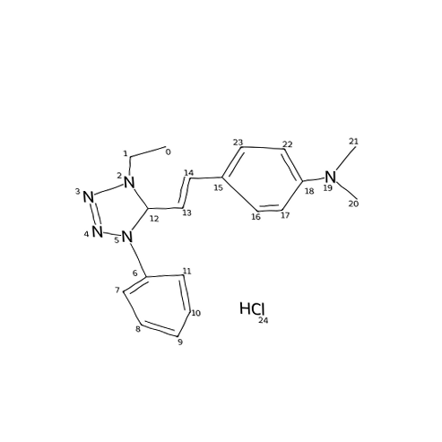 CCN1N=NN(c2ccccc2)C1C=Cc1ccc(N(C)C)cc1.Cl